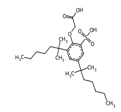 CCCCCC(C)(C)c1cc(C(C)(C)CCCCC)c(OCC(=O)O)c(S(=O)(=O)O)c1